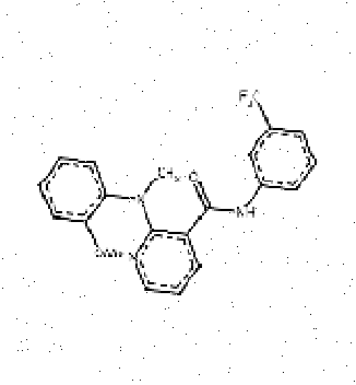 COc1ccccc1N(C)c1ncccc1C(=O)Nc1cccc(C(F)(F)F)c1